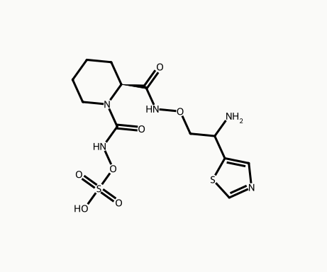 NC(CONC(=O)[C@@H]1CCCCN1C(=O)NOS(=O)(=O)O)c1cncs1